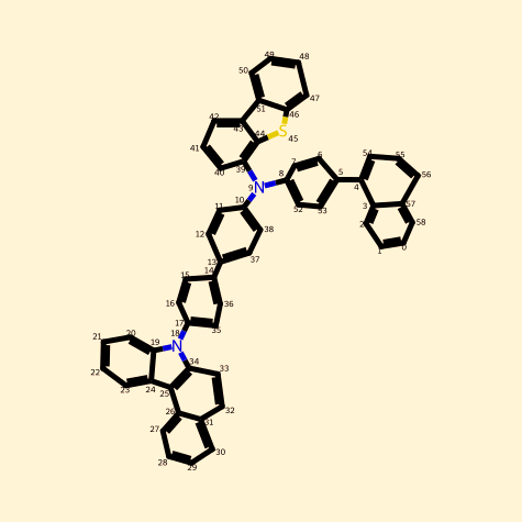 c1ccc2c(-c3ccc(N(c4ccc(-c5ccc(-n6c7ccccc7c7c8ccccc8ccc76)cc5)cc4)c4cccc5c4sc4ccccc45)cc3)cccc2c1